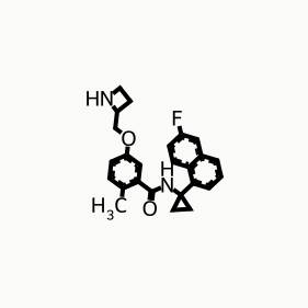 Cc1ccc(OCC2CCN2)cc1C(=O)NC1(c2cccc3cc(F)ccc23)CC1